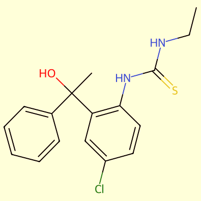 CCNC(=S)Nc1ccc(Cl)cc1C(C)(O)c1ccccc1